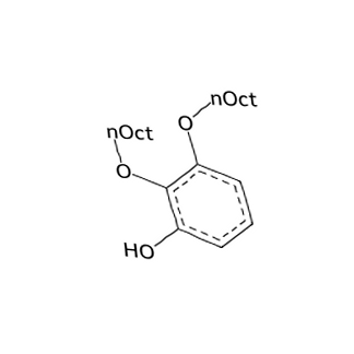 CCCCCCCCOc1cccc(O)c1OCCCCCCCC